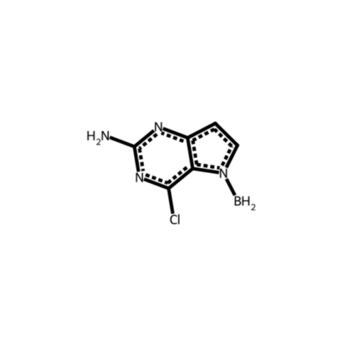 Bn1ccc2nc(N)nc(Cl)c21